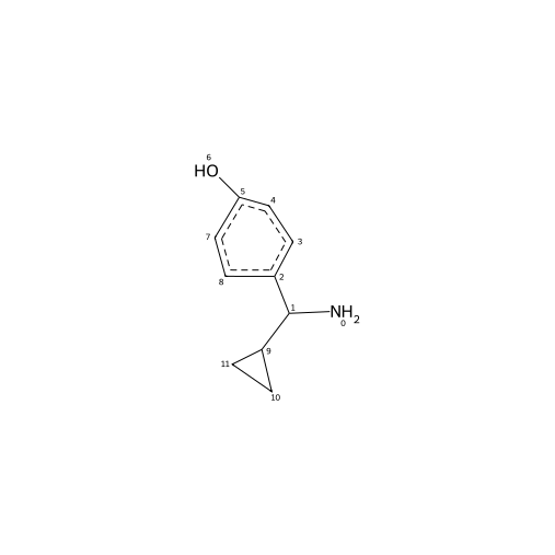 NC(c1ccc(O)cc1)C1CC1